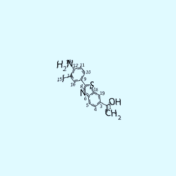 C=C(O)c1ccc2nc(-c3ccc(N)c(I)c3)sc2c1